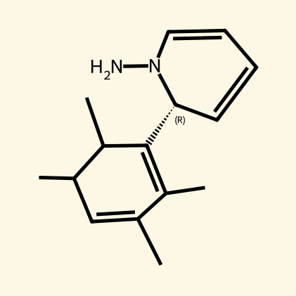 CC1=CC(C)C(C)C([C@H]2C=CC=CN2N)=C1C